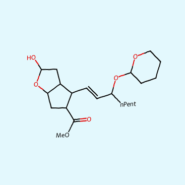 CCCCCC(/C=C/C1C(C(=O)OC)CC2OC(O)CC21)OC1CCCCO1